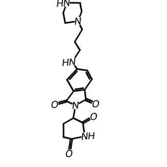 O=C1CCC(N2C(=O)c3ccc(NCCCN4CCNCC4)cc3C2=O)C(=O)N1